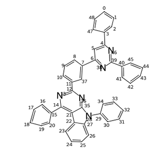 c1ccc(-c2cc(-c3cccc(-c4nc(-c5ccccc5)c5c6ccccc6n(-c6ccccc6)c5n4)c3)nc(-c3ccccc3)n2)cc1